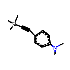 CN(C)c1ccc(C#C[Si](C)(C)C)cc1